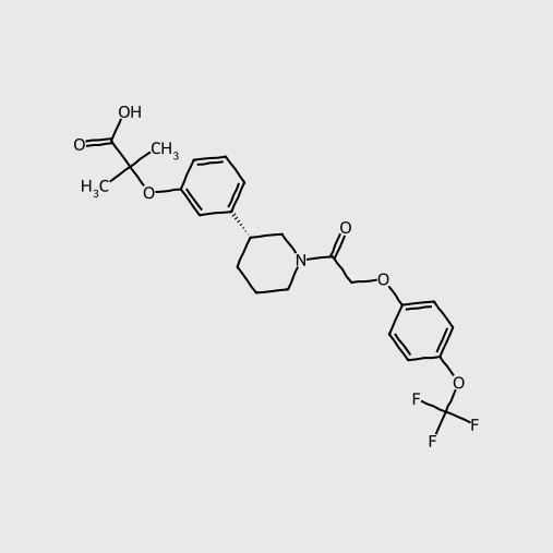 CC(C)(Oc1cccc([C@H]2CCCN(C(=O)COc3ccc(OC(F)(F)F)cc3)C2)c1)C(=O)O